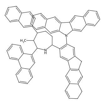 CC1C(c2ccc3ccccc3c2)CCC(c2cc3c(cc2-n2c4cc5ccccc5cc4c4cc5ccccc5cc42)Cc2cc4c(cc2-3)C=CCC4)NC1c1cc2ccccc2c2ccccc12